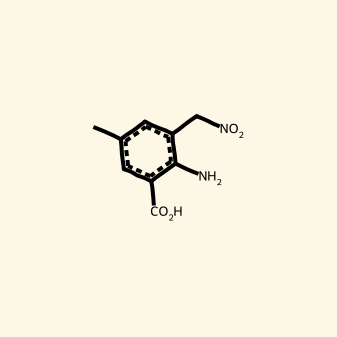 Cc1cc(C[N+](=O)[O-])c(N)c(C(=O)O)c1